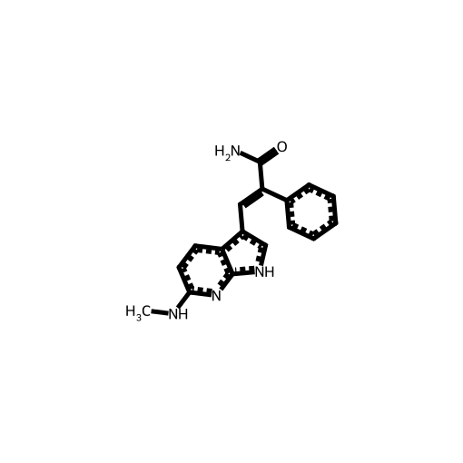 CNc1ccc2c(/C=C(/C(N)=O)c3ccccc3)c[nH]c2n1